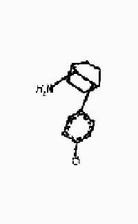 NC1C2CCC(CC2)C1c1ccc(Cl)cc1